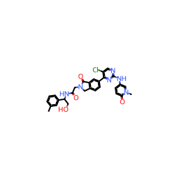 Cc1cccc(C(CO)NC(=O)CN2Cc3ccc(-c4nc(Nc5ccc(=O)n(C)c5)ncc4Cl)cc3C2=O)c1